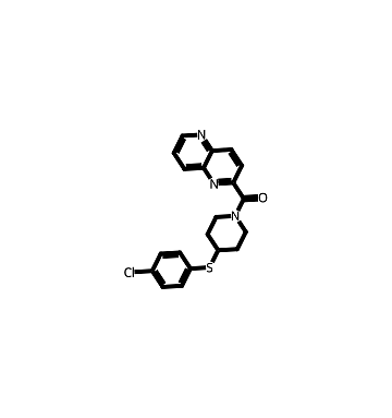 O=C(c1ccc2ncccc2n1)N1CCC(Sc2ccc(Cl)cc2)CC1